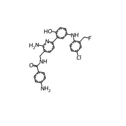 Nc1ccc(C(=O)NCc2ccc(-c3cc(Nc4ccc(Cl)cc4CF)ccc3O)nc2N)cc1